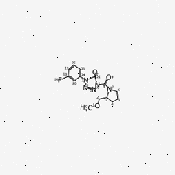 COCC1CCCN1C(=O)n1nnn(-c2cccc(F)c2)c1=O